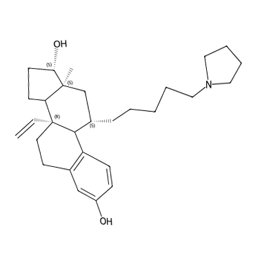 C=C[C@@]12CCc3cc(O)ccc3C1[C@@H](CCCCCN1CCCC1)C[C@@]1(C)C2CC[C@@H]1O